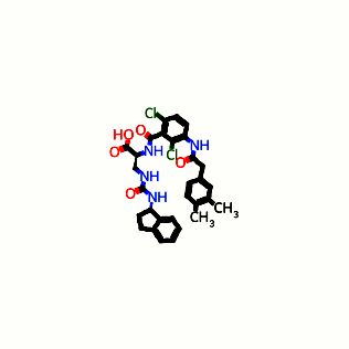 Cc1ccc(CC(=O)Nc2ccc(Cl)c(C(=O)N[C@@H](CNC(=O)N[C@@H]3CCc4ccccc43)C(=O)O)c2Cl)cc1C